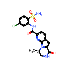 C[C@@H]1CNC(=O)c2cc3ccc(C(=O)Nc4cc(Cl)ccc4S(N)(=O)=O)nc3n21